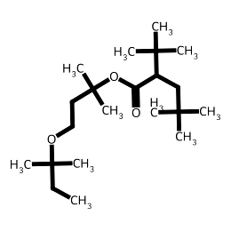 CCC(C)(C)OCCC(C)(C)OC(=O)C(CC(C)(C)C)C(C)(C)C